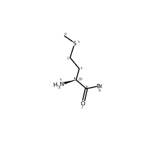 CSCC[C@H](N)C(=O)Br